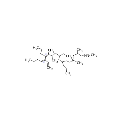 C=CC(=C/CCC)/C(CCC)=C(/C)C(=C)CC(CC)CC(CCC)CCN(C)CC(=C)CCNC